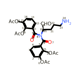 CC(=O)Oc1cccc(C(=O)N(C(=O)c2cccc(OC(C)=O)c2OC(C)=O)[C@@H]([C]=O)CCCN)c1OC(C)=O